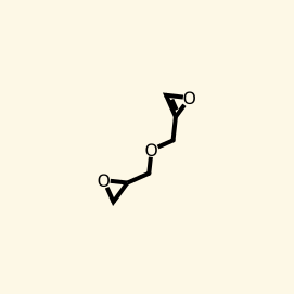 C1=C(COCC2CO2)O1